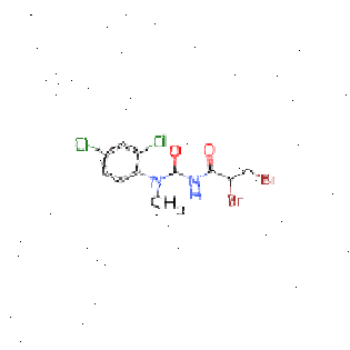 CN(C(=O)NC(=O)C(Br)CBr)c1ccc(Cl)cc1Cl